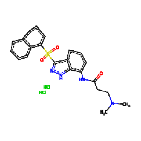 CN(C)CCC(=O)Nc1cccc2c(S(=O)(=O)c3cccc4ccccc34)n[nH]c12.Cl.Cl